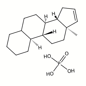 C[C@@]12C=CC[C@H]1[C@@H]1CCC3CCCC[C@@H]3[C@H]1CC2.O=P(O)(O)O